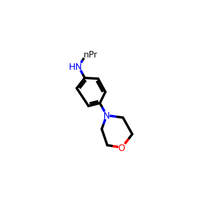 CCCNc1ccc(N2CCOCC2)cc1